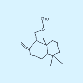 C=C1CCC2C(C)(C)CCCC2(C)C1COC=O